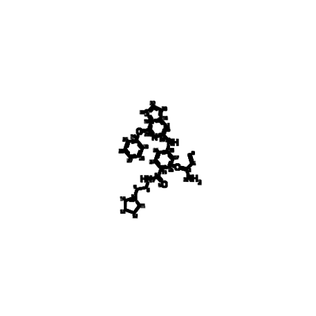 C=CC(N)=O.O=C(NCCN1CCCC1)c1ccc(Nc2nc(Oc3ccccc3)c3sccc3n2)cc1